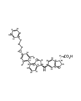 Cc1cc(OCCCc2cccnc2)cc(C)c1-c1cccc2c1OC[C@H]2Nc1ccc2c(c1)OC[C@H]2CC(=O)O